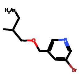 CC(C[AsH2])COCc1cncc(Br)c1